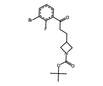 CC(C)(C)OC(=O)N1CC(CCC(=O)c2cccc(Br)c2F)C1